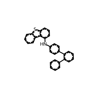 c1ccc(-c2ccccc2-c2ccc(Nc3cccc4sc5ccccc5c34)cc2)cc1